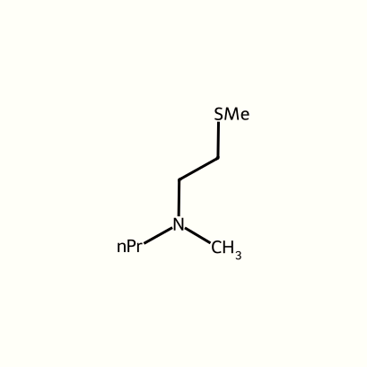 CCCN(C)CCSC